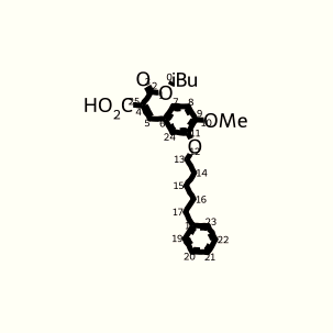 CCC(C)OC(=O)C(=Cc1ccc(OC)c(OCCCCCc2ccccc2)c1)C(=O)O